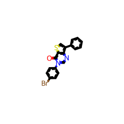 O=c1c2scc(-c3ccccc3)c2ncn1-c1ccc(Br)cc1